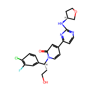 O=c1cc(-c2ccnc(N[C@H]3CCOC3)n2)ccn1[C@H](CCO)c1ccc(Cl)c(F)c1